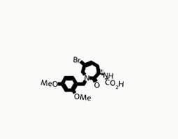 COc1ccc(CN2CC(Br)=CC[C@@H](NC(=O)O)C2=O)c(OC)c1